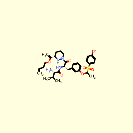 C=CCCOC(=C)[C@@H]1CCCN(C(=O)[C@H](Cc2cccc(OC(C)S(=O)(=O)c3ccc(Br)cc3)c2)NC(=O)[C@@H](N)C(C)C)N1